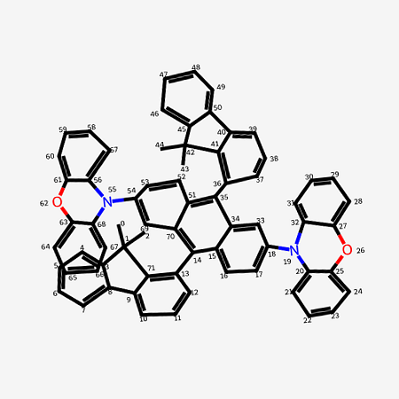 CC1(C)c2ccccc2-c2cccc(-c3c4ccc(N5c6ccccc6Oc6ccccc65)cc4c(-c4cccc5c4C(C)(C)c4ccccc4-5)c4ccc(N5c6ccccc6Oc6ccccc65)cc34)c21